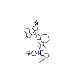 C=C/C=c1/cccc/c1=C\N(C(=C)/C=c1/sc2c(ccccccc3cc(N(c4ccc([Si](C)(C)C)cc4)c4cccc5ccccc45)ccc32)c1=C)c1ccc([Si](C)(C)C)cc1